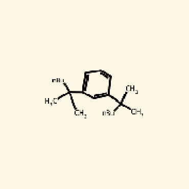 CCCCC(C)(C)c1[c]c(C(C)(C)CCCC)ccc1